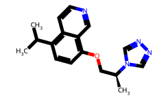 CC(C)c1ccc(OC[C@H](C)n2cnnc2)c2cnccc12